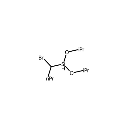 CCCC(Br)[SiH](OC(C)C)OC(C)C